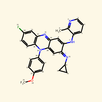 Cc1ncccc1Nc1cc2nc3cc(F)ccc3n(-c3ccc(OC(F)(F)F)cc3)c-2c/c1=N\C1CC1